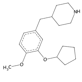 COc1ccc(CC2CCNCC2)cc1OC1CCCC1